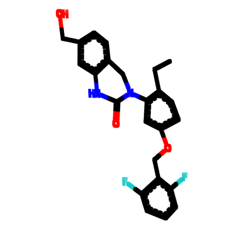 CCc1ccc(OCc2c(F)cccc2F)cc1N1Cc2ccc(CO)cc2NC1=O